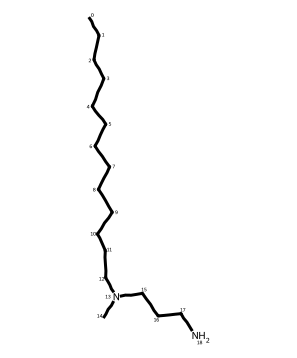 CCCCCCCCCCCCCN(C)CCCN